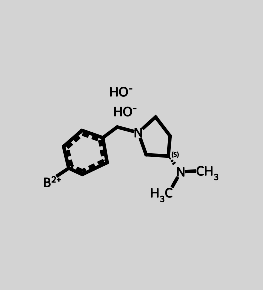 [B+2]c1ccc(CN2CC[C@H](N(C)C)C2)cc1.[OH-].[OH-]